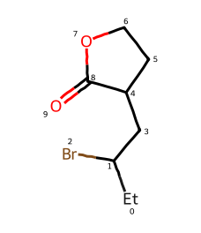 CCC(Br)CC1CCOC1=O